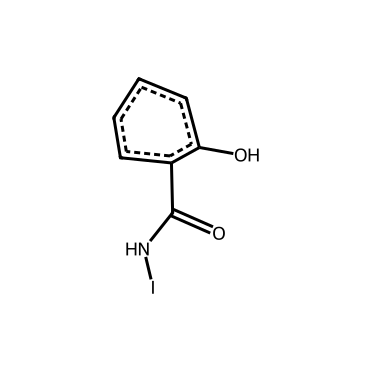 O=C(NI)c1ccccc1O